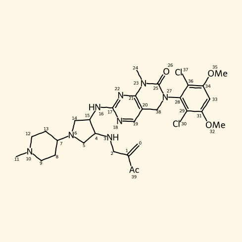 C=C(CNC1CN(C2CCN(C)CC2)CC1Nc1ncc2c(n1)N(C)C(=O)N(c1c(Cl)c(OC)cc(OC)c1Cl)C2)C(C)=O